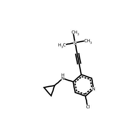 C[Si](C)(C)C#Cc1cnc(Cl)cc1NC1CC1